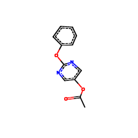 CC(=O)Oc1cnc(Oc2ccccc2)nc1